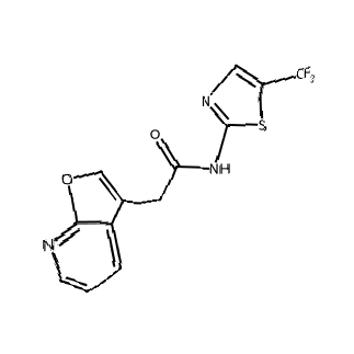 O=C(Cc1coc2ncccc12)Nc1ncc(C(F)(F)F)s1